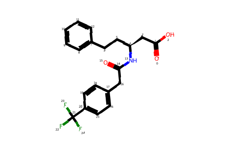 O=C(O)C[C@H](CCc1ccccc1)NC(=O)Cc1ccc(C(F)(F)F)cc1